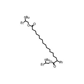 CCCCC(CC)COC(=O)CCCCCCCCCCCCCCC(C(=O)OCC(CC)CCCC)C(C)C